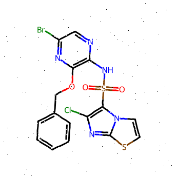 O=S(=O)(Nc1ncc(Br)nc1OCc1ccccc1)c1c(Cl)nc2sccn12